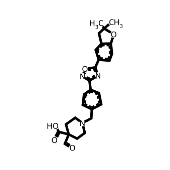 CC1(C)Cc2cc(-c3nc(-c4ccc(CN5CCC(C=O)(C(=O)O)CC5)cc4)no3)ccc2O1